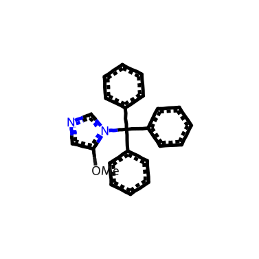 COc1cncn1C(c1ccccc1)(c1ccccc1)c1ccccc1